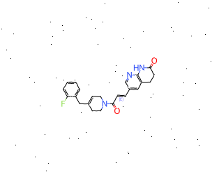 O=C1CCc2cc(/C=C/C(=O)N3CC=C(Cc4ccccc4F)CC3)cnc2N1